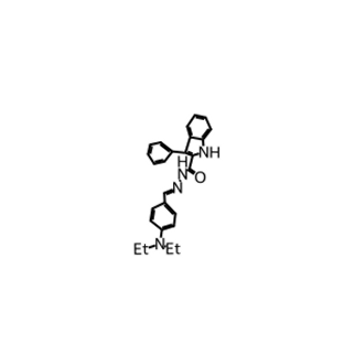 CCN(CC)c1ccc(C=NNC(=O)c2[nH]c3ccccc3c2-c2ccccc2)cc1